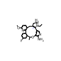 CCN/C1=C(\CN)Cc2ccc(OC)nc2-c2ccc(F)cc2C(C)Oc2cc1cnc2N